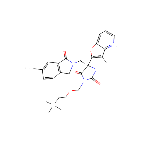 COc1ccc2c(c1)C(=O)N(C[C@@]1(c3oc4cccnc4c3OC(C)=O)NC(=O)N(COCC[Si](C)(C)C)C1=O)C2